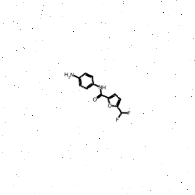 Nc1ccc(NC(=O)c2ccc(C(F)F)o2)cc1